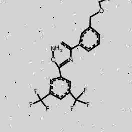 C=C(/N=C(\ON)c1cc(C(F)(F)F)cc(C(F)(F)F)c1)c1cccc(COCO)c1